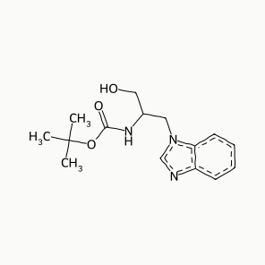 CC(C)(C)OC(=O)NC(CO)Cn1cnc2ccccc21